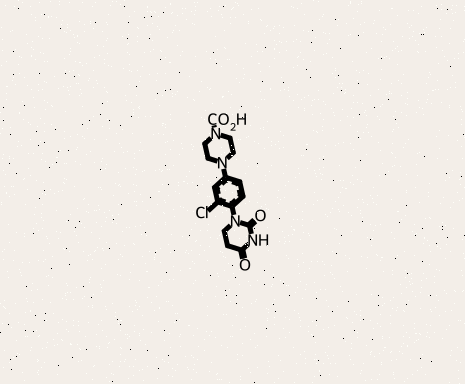 O=C1CCN(c2ccc(N3CCN(C(=O)O)CC3)cc2Cl)C(=O)N1